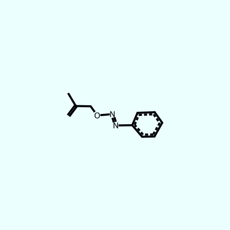 C=C(C)CO/N=N/c1ccccc1